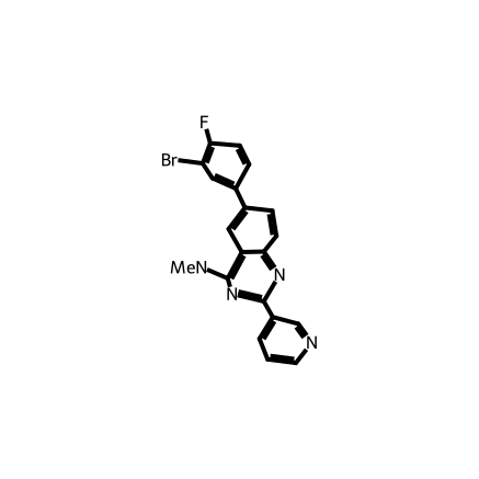 CNc1nc(-c2cccnc2)nc2ccc(-c3ccc(F)c(Br)c3)cc12